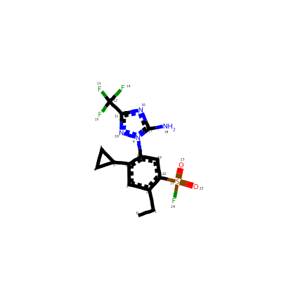 CCc1cc(C2CC2)c(-n2nc(C(F)(F)F)nc2N)cc1S(=O)(=O)F